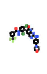 Cn1c(=O)c(-c2c(Cl)ccc(NC(=O)c3cccc(C(F)(F)F)c3)c2Cl)cc2cnc(Nc3ccc(N4CCOCC4)cc3)nc21